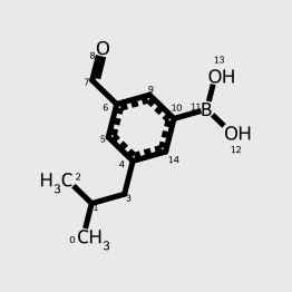 CC(C)Cc1cc(C=O)cc(B(O)O)c1